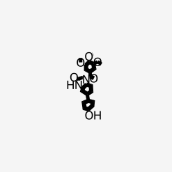 COc1cc(C(=O)N2CC(=O)Nc3cc(-c4ccc(O)cc4)ccc32)cc(OC)c1OC